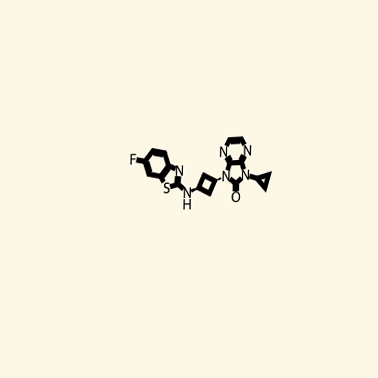 O=c1n(C2CC2)c2nccnc2n1[C@H]1C[C@H](Nc2nc3ccc(F)cc3s2)C1